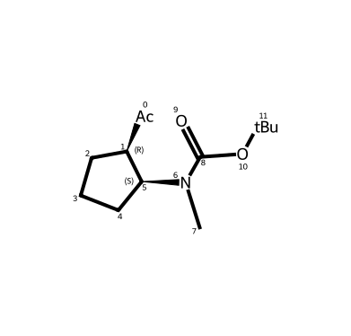 CC(=O)[C@@H]1CCC[C@@H]1N(C)C(=O)OC(C)(C)C